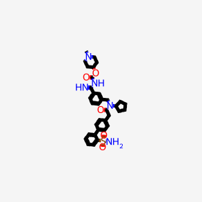 CN1CCC(OC(=O)NC(=N)c2cccc(CN(C(=O)Cc3ccc(-c4ccccc4S(N)(=O)=O)cc3)C3CCCC3)c2)CC1